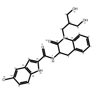 O=C(NC1Cc2ccccc2N(CC(CO)CO)C1=O)c1cc2cc(Cl)ccc2[nH]1